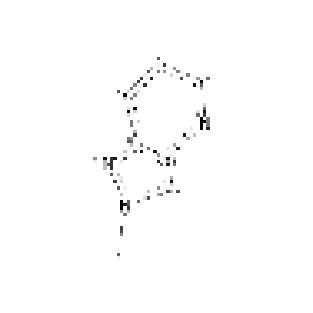 In1cc2ncccc2n1